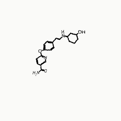 NC(=O)c1ccc(Oc2ccc(CCNC3CCCC(O)C3)cc2)nc1